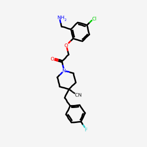 N#CC1(Cc2ccc(F)cc2)CCN(C(=O)COc2ccc(Cl)cc2CN)CC1